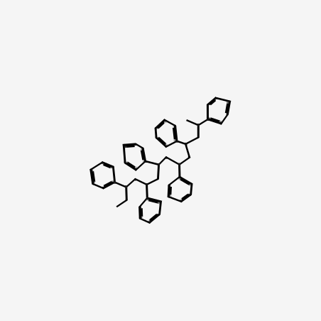 CCC(CC(CC(CC(CC(CC(C)c1ccccc1)c1ccccc1)c1ccccc1)c1ccccc1)c1ccccc1)c1ccccc1